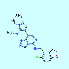 C=Nc1c(-c2cnc(NCc3c(F)ccc4c3CCO4)n3cnnc23)cnn1/C=C\C